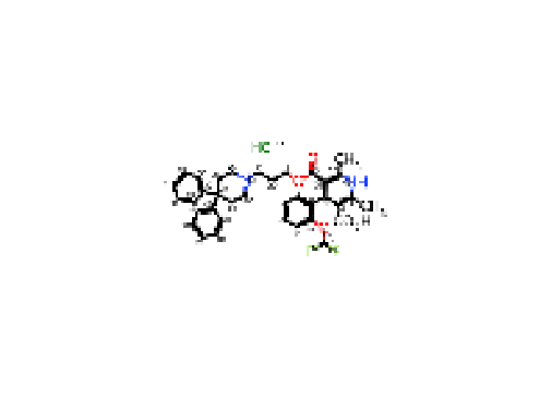 CC1=C(C(=O)O)C(c2ccccc2OC(F)F)C(C(=O)OCCCN2CCC(c3ccccc3)(c3ccccc3)CC2)=C(C)N1.Cl